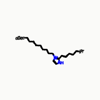 CCCCCCCCCCCCCCCCCCC[n+]1cc[nH]c1CCCCCC(C)C